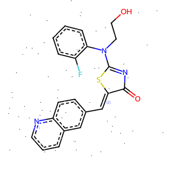 O=C1N=C(N(CCO)c2ccccc2F)S/C1=C\c1ccc2ncccc2c1